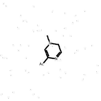 CC(=O)C1=CN(C)CC=N1